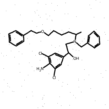 CC(CCCCOCCc1ccccc1)N(Cc1ccccc1)CC(O)c1cc(Cl)c(N)c(Cl)c1